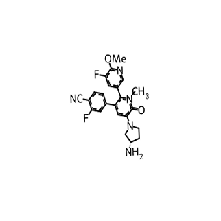 COc1ncc(-c2c(-c3ccc(C#N)c(F)c3)cc(N3CC[C@H](N)C3)c(=O)n2C)cc1F